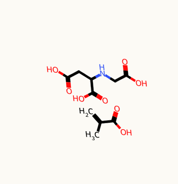 C=C(C)C(=O)O.O=C(O)CNC(CC(=O)O)C(=O)O